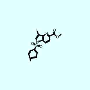 COC(=O)c1ccc2c(n1)c(I)cn2S(=O)(=O)c1ccc(C)cc1